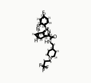 O=C(NCC1CCN(CCC(F)(F)F)CC1)c1nn(-c2ccc(F)cc2F)c2c1C[C@H]1C[C@@H]21